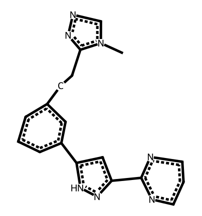 Cn1cnnc1CCc1cccc(-c2cc(-c3ncccn3)n[nH]2)c1